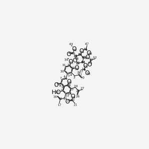 C=C(C)Cc1c(-c2cc(=O)c3c(O)c(CC(=C)C)c(OC(C)=O)c(CC(=C)C)c3o2)ccc(OC)c1O[C@@H]1O[C@H](C(=O)OC)[C@@H](OC(C)=O)[C@H](OC(C)=O)[C@H]1OC(C)=O